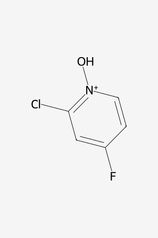 O[n+]1ccc(F)cc1Cl